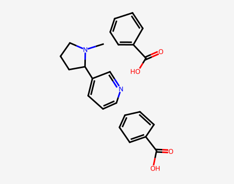 CN1CCCC1c1cccnc1.O=C(O)c1ccccc1.O=C(O)c1ccccc1